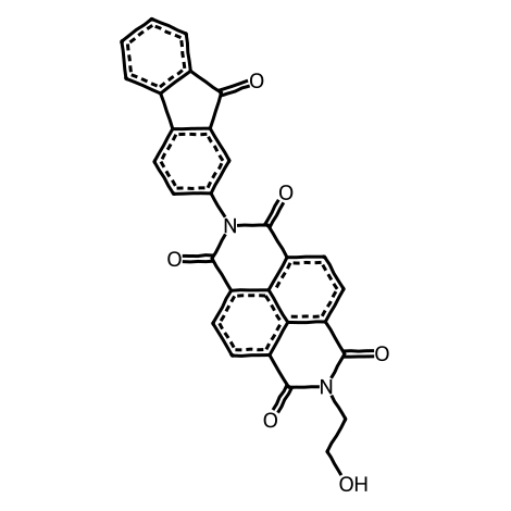 O=C1c2ccccc2-c2ccc(N3C(=O)c4ccc5c6c(ccc(c46)C3=O)C(=O)N(CCO)C5=O)cc21